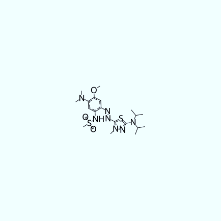 COc1cc(N=Nc2sc(N(C(C)C)C(C)C)n[n+]2C)c(NS(C)(=O)=O)cc1N(C)C